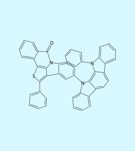 O=c1c2ccccc2c2sc(-c3ccccc3)c3c4cc(-n5c6ccccc6c6ccc7c8ccccc8n(-c8ccccc8)c7c65)ccc4n1c23